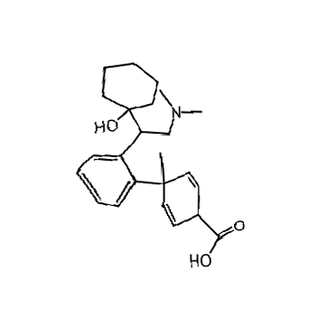 CN(C)CC(c1ccccc1C1(C)C=CC(C(=O)O)C=C1)C1(O)CCCCC1